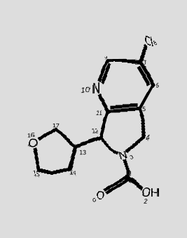 O=C(O)N1Cc2cc(Cl)cnc2C1C1CCOC1